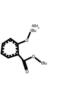 CC(C)(C)OC(=O)c1ccccc1OC(C)(C)C.[AlH3]